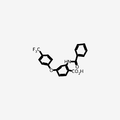 O=C(Nc1cc(Oc2ccc(C(F)(F)F)cc2)ccc1C(=O)O)c1ccccc1